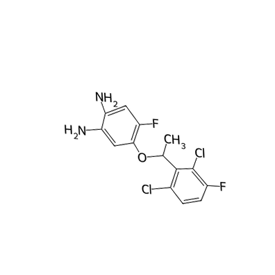 CC(Oc1cc(N)c(N)cc1F)c1c(Cl)ccc(F)c1Cl